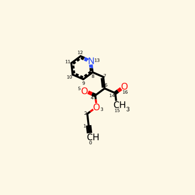 C#CCOC(=O)C(=Cc1ccccn1)C(C)=O